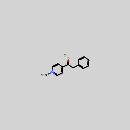 CCCCCC[n+]1ccc(C(=O)Cc2ccccc2)cc1.[Cl-]